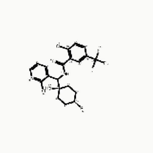 O=C(NC(c1cccnc1Cl)[C@]1(O)CC[C@@H](F)CC1)c1cc(C(F)(F)F)ccc1Cl